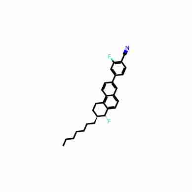 CCCCCCC[C@H]1CCc2c(ccc3cc(-c4ccc(C#N)c(F)c4)ccc23)[C@@H]1F